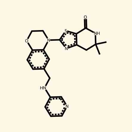 CC1(C)Cc2nc(N3CCOc4ccc(CNc5cccnc5)cc43)sc2C(=O)N1